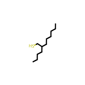 CCCCCCC(CS)CCCC